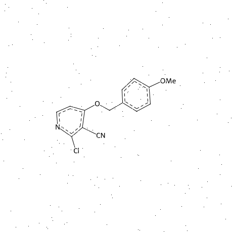 COc1ccc(COc2ccnc(Cl)c2C#N)cc1